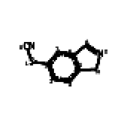 N#CSc1ccc2c(c1)C=NC2